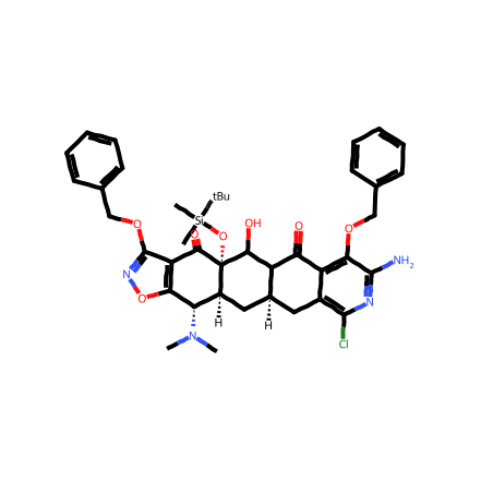 CN(C)[C@@H]1c2onc(OCc3ccccc3)c2C(=O)[C@@]2(O[Si](C)(C)C(C)(C)C)C(O)C3C(=O)c4c(c(Cl)nc(N)c4OCc4ccccc4)C[C@H]3C[C@@H]12